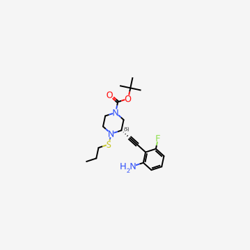 CCCSN1CCN(C(=O)OC(C)(C)C)C[C@@H]1C#Cc1c(N)cccc1F